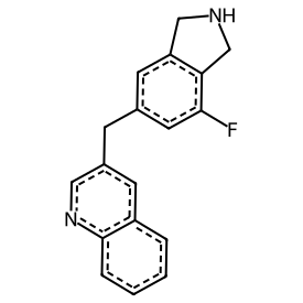 Fc1cc(Cc2cnc3ccccc3c2)cc2c1CNC2